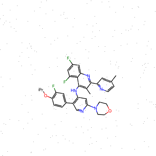 Cc1ccnc(-c2nc3cc(F)cc(F)c3c(Nc3cc(N4CCOCC4)ncc3-c3ccc(OC(C)C)c(F)c3)c2C)c1